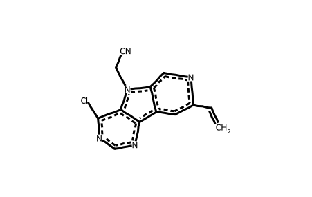 C=Cc1cc2c3ncnc(Cl)c3n(CC#N)c2cn1